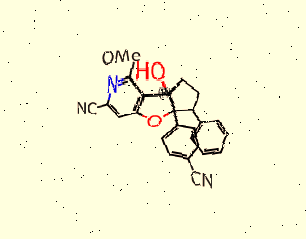 COc1nc(C#N)cc2c1[C@]1(O)CCC(c3ccccc3)C1(c1ccc(C#N)cc1)O2